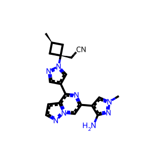 Cn1cc(-c2cn3nccc3c(-c3cnn([C@]4(CC#N)C[C@@H](C)C4)c3)n2)c(N)n1